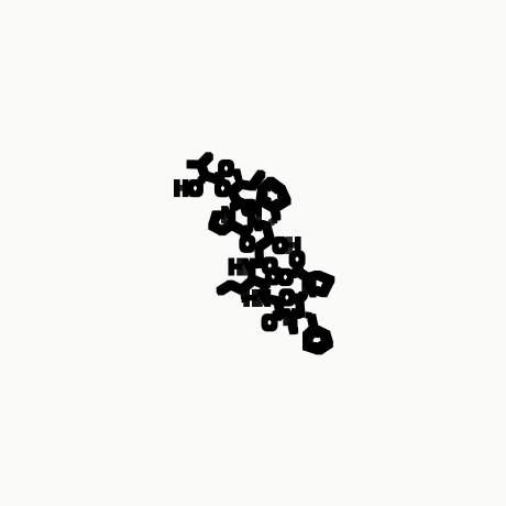 CC[C@@H](C)[C@@H](NC(=O)C[C@H](O)[C@@H](Cc1ccccc1)NC(=O)C1CCCN1C(=O)[C@H](OC(=O)[C@@H](O)C(C)C)[C@@H](C)CC)C(=O)NCC(=O)N(C)[C@@H](Cc1ccccc1)C(=O)N1CCCC1C(=O)OC